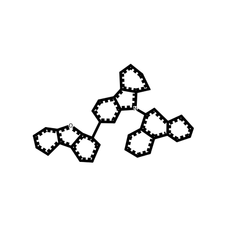 c1ccc2c(c1)cc(-n1c3ccccc3c3ccc(-c4cccc5c4oc4ccccc45)cc31)c1ccccc12